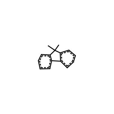 CC1(C)c2ccc[c]c2-c2c[c]ccc21